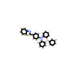 c1ccc(B2c3ccccc3N(c3ccc(-c4nc5ccccc5s4)cc3)c3ccccc32)cc1